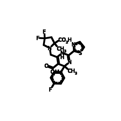 COC(=O)C1=C(CN2CC(F)(F)CC2(C)C(=O)O)NC(c2nccs2)=NC1(C)c1ccc(F)cc1